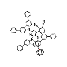 N#Cc1cccc(-c2cc(-n3c4ccc(-c5ccccc5)cc4c4cc(-c5ccccc5)ccc43)nc(-n3c4ccc(-c5ccccc5)cc4c4cc(-c5ccccc5)ccc43)c2-n2c3ccc(-c4ccccc4)cc3c3cc(-c4ccccc4)ccc32)c1C#N